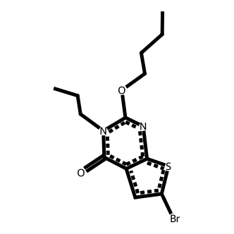 CCCCOc1nc2sc(Br)cc2c(=O)n1CCC